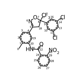 Cc1ccc(C2=NOC(c3cc(Cl)cc(Cl)c3)(C(F)(F)F)C2)cc1NC(=O)c1ccccc1[N+](=O)[O-]